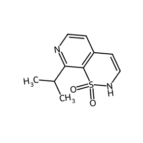 CC(C)c1nccc2c1S(=O)(=O)NC=C2